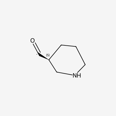 O=[C][C@H]1CCCNC1